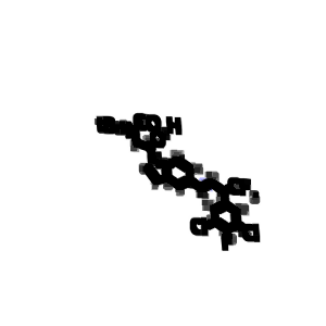 CC(C)(C)N(CC(=O)n1ccc2cc(/C=C/C(c3cc(Cl)c(F)c(Cl)c3)C(F)(F)F)ccc21)C(=O)O